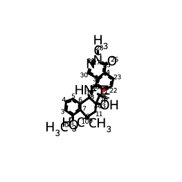 COc1cccc2c1C(C)(C)CC(O)(C(F)(F)F)C2Nc1cccc2c(=O)n(C)ncc12